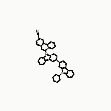 N#Cc1ccc2cc(-n3c4ccccc4c4cc(-c5ccc6c7ccccc7n(-c7ccccc7)c6c5)ccc43)c3ccccc3c2c1